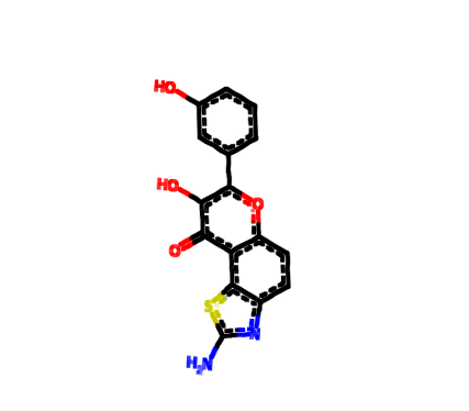 Nc1nc2ccc3oc(-c4cccc(O)c4)c(O)c(=O)c3c2s1